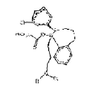 CCN(CC)CCC[C@]1(OC(=O)C(=O)O)c2ccccc2CCC[C@@H]1c1cccc(Cl)c1